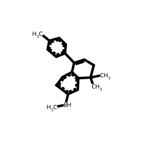 CBc1ccc2c(c1)C(C)(C)CC=C2c1ccc(C)cc1